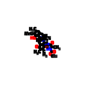 COc1c(C)cc2c(c1O)[C@@H]1[C@@H]3CC4=C(C(=O)C(C)=C(C)C4=O)[C@H](CNC(=O)[C@H](C)NC(=O)OC(C)(C)C)N3[C@@H](C#N)[C@H](C2)N1C